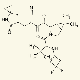 CC(C)(C)C(NC1CC(F)(F)C1)C(=O)N1CC2C(C1C(=O)NC(C#N)CC1CC3(CC3)NC1=O)C2(C)C